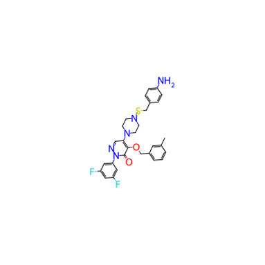 Cc1cccc(COc2c(N3CCN(SCc4ccc(N)cc4)CC3)cnn(-c3cc(F)cc(F)c3)c2=O)c1